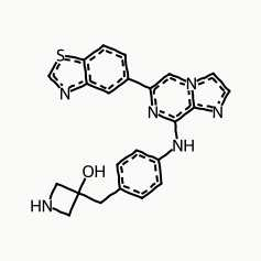 OC1(Cc2ccc(Nc3nc(-c4ccc5scnc5c4)cn4ccnc34)cc2)CNC1